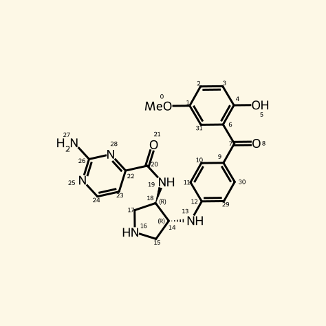 COc1ccc(O)c(C(=O)c2ccc(N[C@@H]3CNC[C@H]3NC(=O)c3ccnc(N)n3)cc2)c1